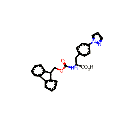 O=C(NC(Cc1ccc(-n2cccn2)cc1)C(=O)O)OCC1c2ccccc2-c2ccccc21